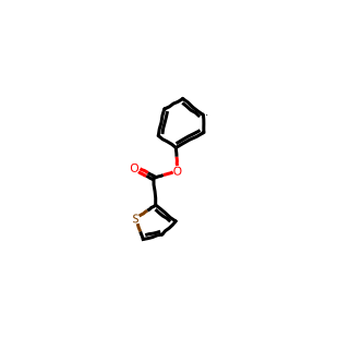 O=C(Oc1c[c]ccc1)c1cccs1